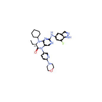 CC[C@@H]1C(=O)N(c2ccc(N3CCOCC3)nc2)c2cnc(Nc3cc(F)c4[nH]ncc4c3)nc2N1C1CCCCC1